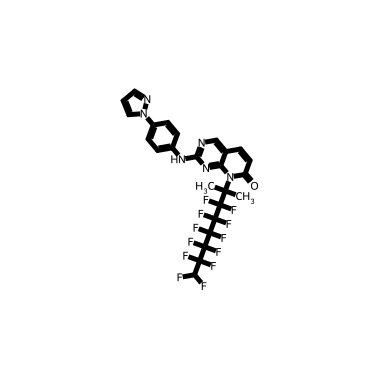 CC(C)(n1c(=O)ccc2cnc(Nc3ccc(-n4cccn4)cc3)nc21)C(F)(F)C(F)(F)C(F)(F)C(F)(F)C(F)(F)C(F)F